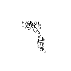 CCC(C(=O)c1ccc(SCCC(F)(F)C(F)(F)C(F)(F)C(F)(F)C(F)(F)C(F)(F)F)cc1)(N(C)C)N(C)C